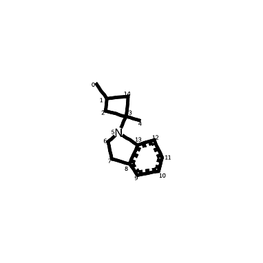 CC1CC(C)(N2CCc3ccccc32)C1